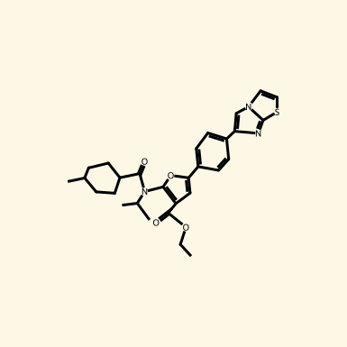 CCOC(=O)c1cc(-c2ccc(-c3cn4ccsc4n3)cc2)oc1N(C(=O)C1CCC(C)CC1)C(C)C